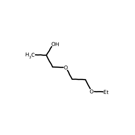 CCOCCOCC(C)O